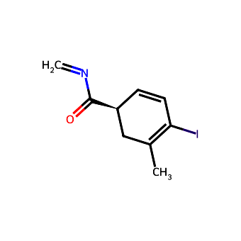 C=NC(=O)[C@H]1C=CC(I)=C(C)C1